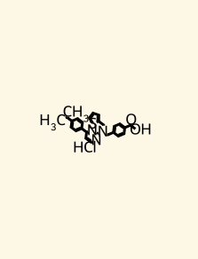 CC(C)c1ccc(-c2ccnc(N(Cc3ccc(C(=O)O)cc3)Cc3cccs3)n2)cc1.Cl